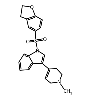 CN1CC=C(c2cn(S(=O)(=O)c3ccc4c(c3)CCO4)c3ccccc23)CC1